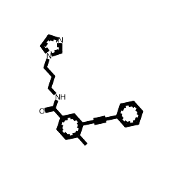 Cc1ccc(C(=O)NCCCn2ccnc2)cc1C#Cc1ccccc1